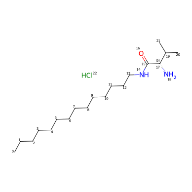 CCCCCCCCCCCCCCNC(=O)[C@@H](N)C(C)C.Cl